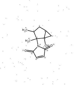 CC1CC2CC2(C)C1(C)N1C(=O)C=CC1=O